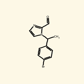 CC(c1ccc(Br)cc1)n1ccnc1C=O